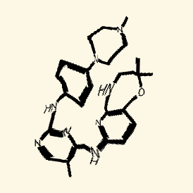 Cc1cnc(Nc2ccc(N3CCN(C)CC3)cc2)nc1Nc1ccc2c(n1)NCC(C)(C)O2